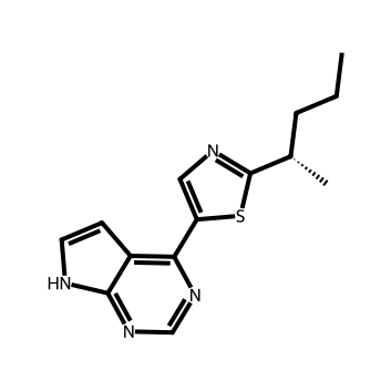 CCC[C@H](C)c1ncc(-c2ncnc3[nH]ccc23)s1